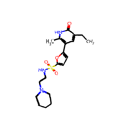 CCc1cc(-c2ccc(S(=O)(=O)NCCN3CCCCC3)o2)c(C)[nH]c1=O